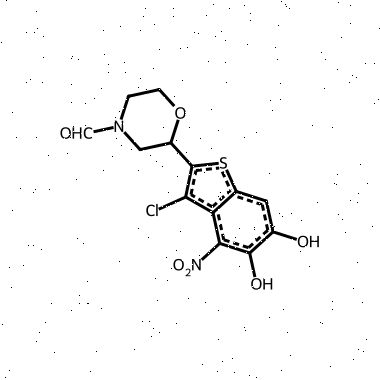 O=CN1CCOC(c2sc3cc(O)c(O)c([N+](=O)[O-])c3c2Cl)C1